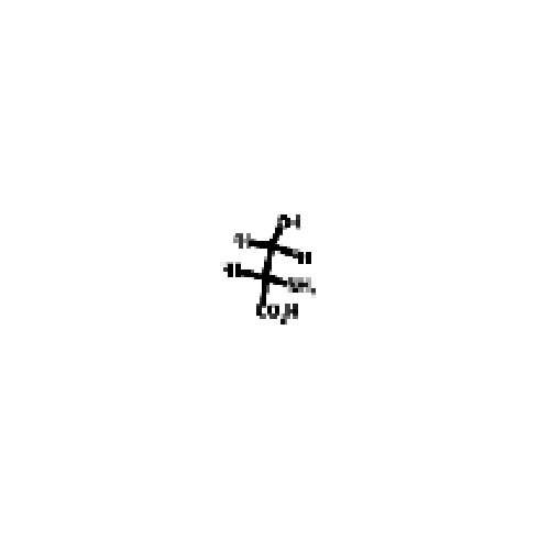 [2H]C([2H])(O)C([2H])(N)C(=O)O